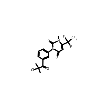 Cn1c(C(F)(F)C(F)(F)F)cc(=O)n(-c2cccc(C(=O)C(C)(C)Cl)c2)c1=O